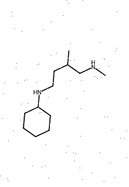 CNCC(C)CCNC1CCCCC1